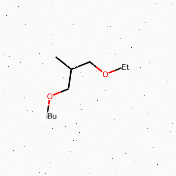 CCOCC(C)COC(C)CC